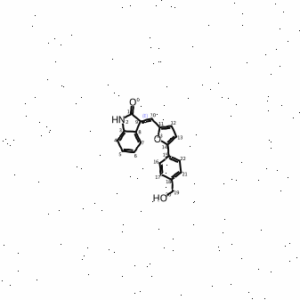 O=C1Nc2ccccc2/C1=C\c1ccc(-c2ccc(CO)cc2)o1